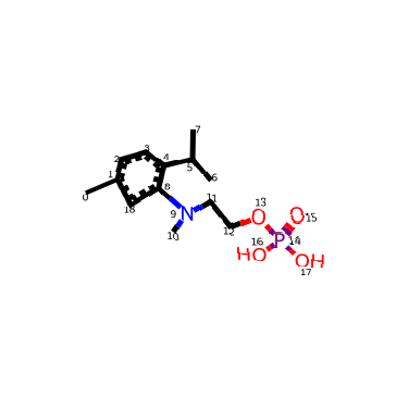 Cc1ccc(C(C)C)c(N(C)CCOP(=O)(O)O)c1